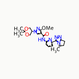 COc1nn(C2COC(C)(C)OC2)cc1C(=O)Nc1cccc(-c2nnc3n2[C@@H](C)CC3)n1